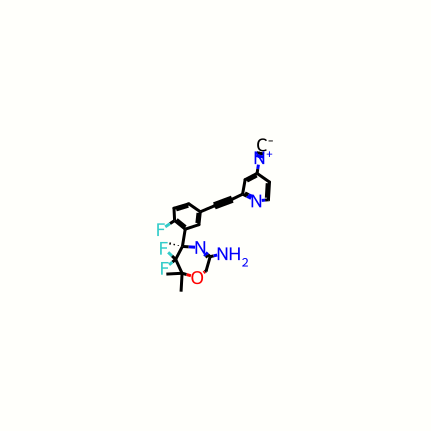 [C-]#[N+]c1ccnc(C#Cc2ccc(F)c([C@@]3(C)N=C(N)COC(C)(C)C3(F)F)c2)c1